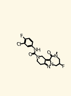 CN1CC(F)Cn2nc3c(c2C1=O)CN(C(=O)Nc1ccc(F)c(Cl)c1)CC3